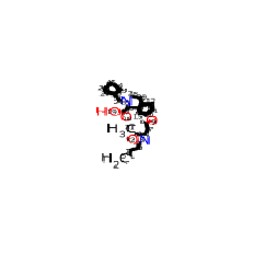 C=CCCc1nc(CCOc2ccc3c(c2)C(C(=O)O)N(Cc2ccccc2)CC3)c(C)o1